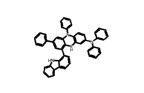 B1c2cc(N(c3ccccc3)c3ccccc3)ccc2N(c2ccccc2)c2cc(-c3ccccc3)cc(-c3cccc4c3[nH]c3ccccc34)c21